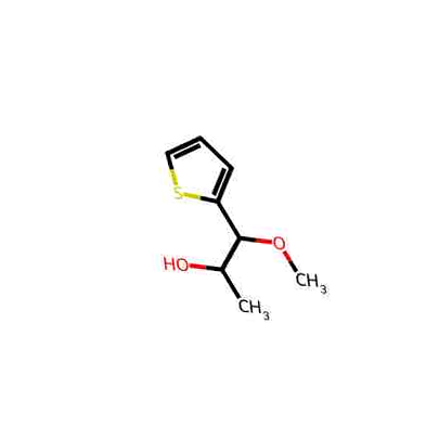 COC(c1cccs1)C(C)O